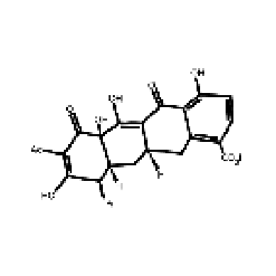 CC(=O)C1=C(O)C(C(C)C)[C@H]2C[C@H]3Cc4c(C(=O)O)ccc(O)c4C(=O)C3=C(O)[C@@]2(O)C1=O